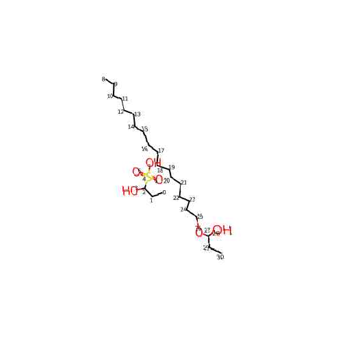 CCC(O)S(=O)(=O)O.CCCCCCCCCCCCCCCCCCOC(O)CC